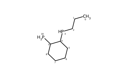 CCCPC1CCCCC1P